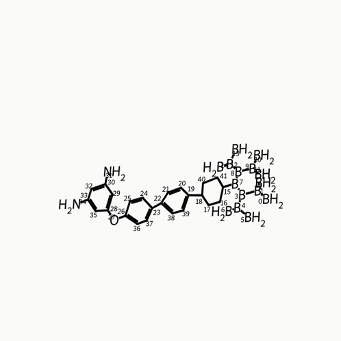 BB(B)B(B(B)B)B(B(B(B)B)B(B)B)C1CCC(c2ccc(-c3ccc(Oc4cc(N)cc(N)c4)cc3)cc2)CC1